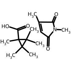 CC1(C)C(C)(C)C1(C)C(=O)O.CC1=CC(=O)N(C)C1=O